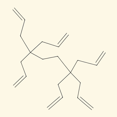 C=CCC(CC=C)(CC=C)CCC(CC=C)(CC=C)CC=C